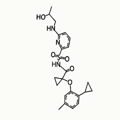 Cc1ccc(C2CC2)c(OC2(C(=O)NS(=O)(=O)c3cccc(NCC(C)O)n3)CC2)c1